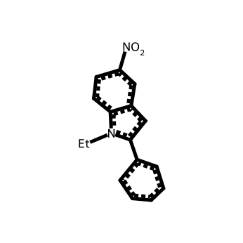 CCn1c(-c2ccccc2)cc2cc([N+](=O)[O-])ccc21